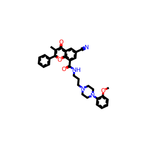 COc1ccccc1N1CCN(CCCNC(=O)c2cc(C#N)cc3c(=O)c(C)c(-c4ccccc4)oc23)CC1